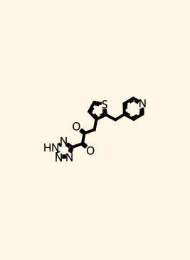 O=C(Cc1ccsc1Cc1ccncc1)C(=O)c1nn[nH]n1